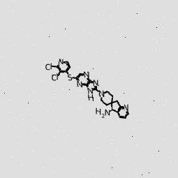 N[C@@H]1c2cccnc2CC12CCN(c1nc3ncc(Sc4ccnc(Cl)c4Cl)nc3[nH]1)CC2